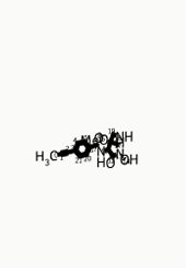 CC#Cc1ccc(C(=O)NC(C(=O)NO)C2(OC)CNC2)cc1